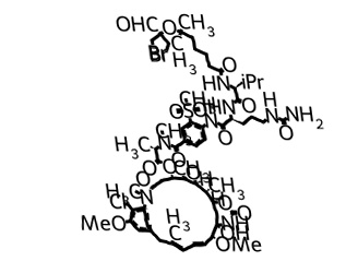 COc1cc2cc(c1Cl)N(C)C(=O)C[C@H](OC(=O)[C@H](C)N(C)C(=O)c1ccc(NC(=O)[C@H](CCCNC(N)=O)NC(=O)[C@@H](NC(=O)CCCCC(C)(C)OC(C=O)(CBr)CBr)C(C)C)c(S(C)(=O)=O)c1)[C@]1(C)O[C@H]1[C@H](C)[C@@H]1C[C@@](O)(NC(=O)O1)[C@H](OC)/C=C/C=C(\C)C2